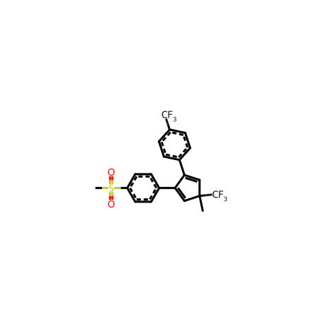 CC1(C(F)(F)F)C=C(c2ccc(C(F)(F)F)cc2)C(c2ccc(S(C)(=O)=O)cc2)=C1